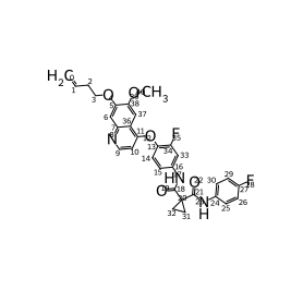 C=CCCOc1cc2nccc(Oc3ccc(NC(=O)C4(C(=O)Nc5ccc(F)cc5)CC4)cc3F)c2cc1OC